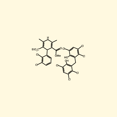 CCOC(=O)C1=C(C)NC(C)=C(C(=O)OC)C1c1cccc(Cl)c1Cl.Oc1c(Cl)cc(Cl)c(Cl)c1Cc1c(O)c(Cl)cc(Cl)c1Cl